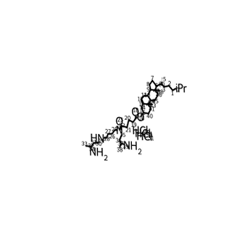 CC(C)CCC[C@@H](C)C1CCC2C3CC=C4CC(OC(=O)CCCC(=O)N(CCCCNCCC(C)N)CCC(C)N)CCC4(C)C3CCC21C.Cl.Cl.Cl